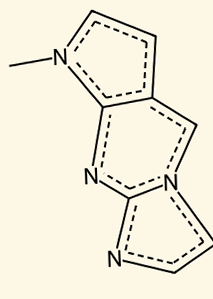 Cn1ccc2cn3ccnc3nc21